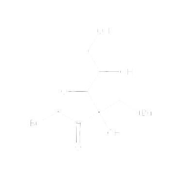 CC(C)(C)CC(=O)C(O)(CC(C)(C)C)C(O)C(O)CO